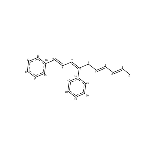 CC=CC=CCC(=CC=Cc1ccccc1)c1ccccc1